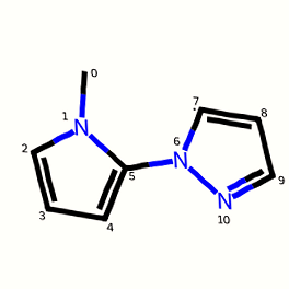 Cn1cccc1-n1[c]ccn1